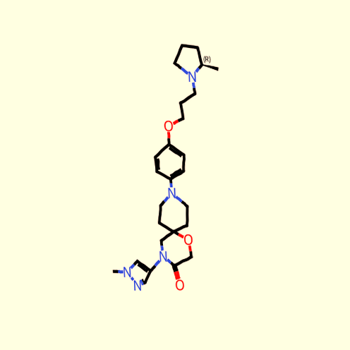 C[C@@H]1CCCN1CCCOc1ccc(N2CCC3(CC2)CN(c2cnn(C)c2)C(=O)CO3)cc1